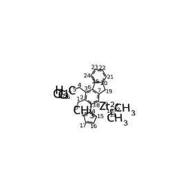 CCc1c(CC)c2c([c]([Zr+2]=[C](C)C)c1C1=CC=CC1)Cc1ccccc1-2.[Cl-].[Cl-]